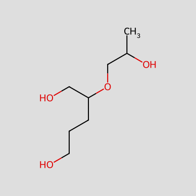 CC(O)COC(CO)CCCO